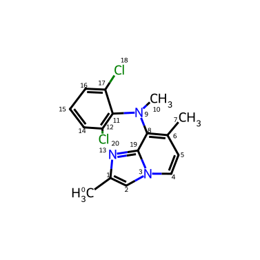 Cc1cn2ccc(C)c(N(C)c3c(Cl)cccc3Cl)c2n1